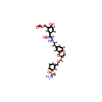 NS(=O)(=O)c1cccc(COC[C@@H]2COc3ccc(CCNC[C@H](O)c4ccc(O)c(COC=O)c4)cc3O2)c1